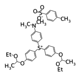 CCOC(C)Oc1ccc([S+](c2ccc(OC(C)OCC)cc2)c2ccc(N(C)C)cc2)cc1.Cc1ccc(S(=O)(=O)[O-])cc1